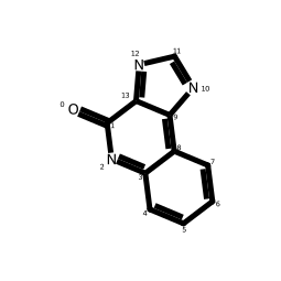 O=C1N=c2ccccc2=C2N=CN=C12